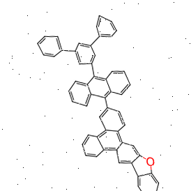 c1ccc(-c2cc(-c3ccccc3)cc(-c3c4ccccc4c(-c4ccc5c(c4)c4ccccc4c4cc6c(cc54)oc4ccccc46)c4ccccc34)c2)cc1